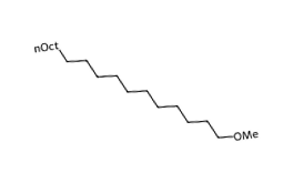 [CH2]OCCCCCCCCCCCCCCCCCCC